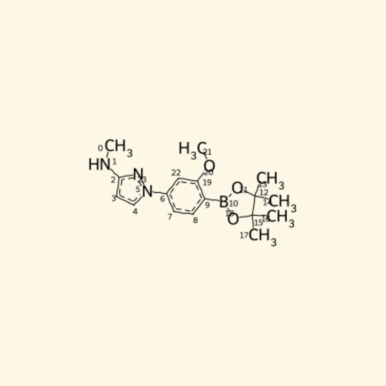 CNc1ccn(-c2ccc(B3OC(C)(C)C(C)(C)O3)c(OC)c2)n1